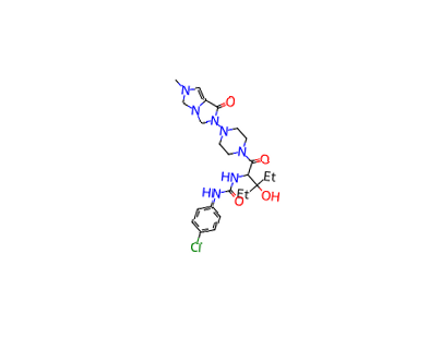 CCC(O)(CC)C(NC(=O)Nc1ccc(Cl)cc1)C(=O)N1CCN(N2CN3CN(C)C=C3C2=O)CC1